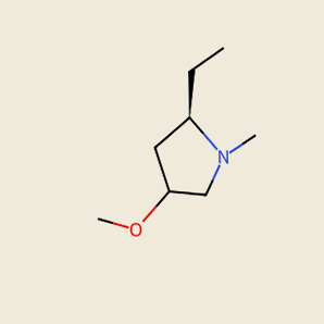 CC[C@@H]1CC(OC)CN1C